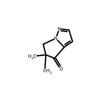 CC1(C)Cn2nccc2C1=O